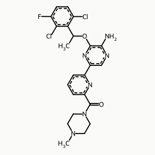 CC(Oc1nc(-c2cccc(C(=O)N3CCN(C)CC3)n2)cnc1N)c1c(Cl)ccc(F)c1Cl